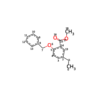 C[CH]c1ccc(OCc2ccccc2)c(C(=O)OC)c1